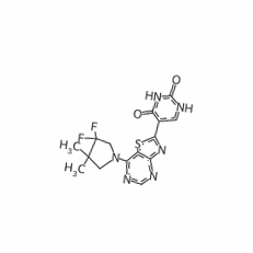 CC1(C)CN(c2ncnc3nc(-c4c[nH]c(=O)[nH]c4=O)sc23)CC1(F)F